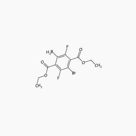 Bc1c(F)c(C(=O)OCC)c(Br)c(F)c1C(=O)OCC